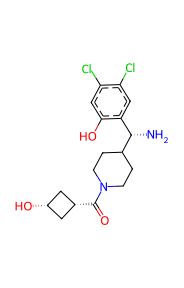 N[C@@H](c1cc(Cl)c(Cl)cc1O)C1CCN(C(=O)[C@H]2C[C@@H](O)C2)CC1